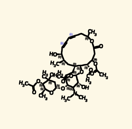 CO[C@@H]1[C@@H](O[C@@H]2O[C@H](C)[C@@H](O[C@H]3C[C@@](C)(O)[C@@H](OC(C)=O)[C@H](C)O3)[C@H](N(C)C)[C@H]2O)[C@@H](CC=O)C[C@@H](C)[C@@H](O)/C=C/C=C/C[C@@H](C)OC(=O)C[C@H]1OC(C)=O